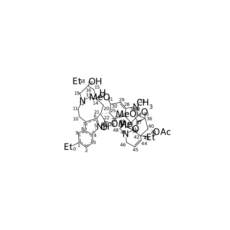 CCc1ccc2[nH]c3c(c2c1)CCN1C[C@H](C[C@@](O)(CC)C1)C[C@]3(C(=O)OC)C1C=C2C(=CC1OC)N(C)[C@@]13O[C@]1(C(=O)OC)[C@H](OC(C)=O)[C@]1(CC)C=CCN4CC[C@]23[C@@H]41